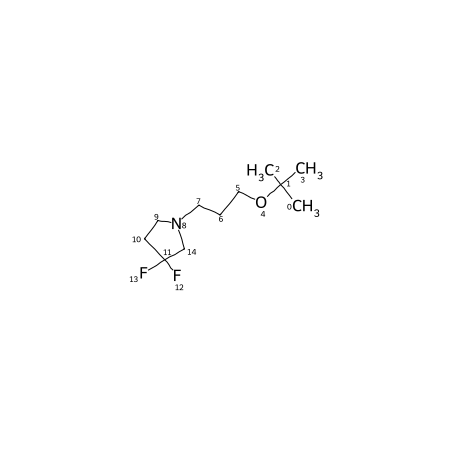 CC(C)(C)OCCCN1CCC(F)(F)C1